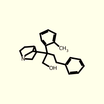 Cc1ccccc1C(CO)(CCc1ccccc1)C1CN2CCC1CC2